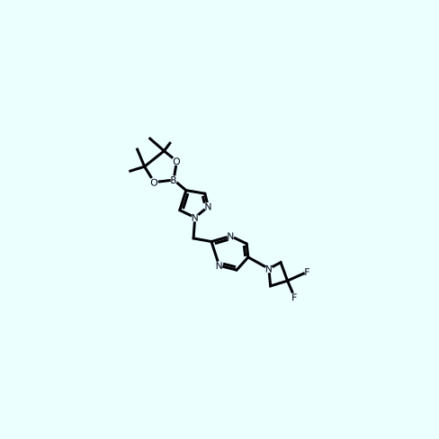 CC1(C)OB(c2cnn(Cc3ncc(N4CC(F)(F)C4)cn3)c2)OC1(C)C